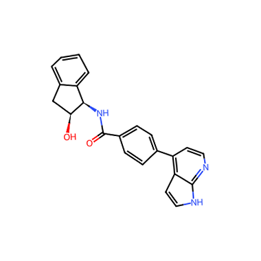 O=C(N[C@@H]1c2ccccc2C[C@@H]1O)c1ccc(-c2ccnc3[nH]ccc23)cc1